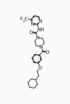 O=C(Nc1nccc(C(F)(F)F)n1)N1CCN(C(=O)c2cccc(OCCC3CCCCC3)c2)CC1